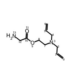 C=CCN(CC=C)CCOC(=O)CN